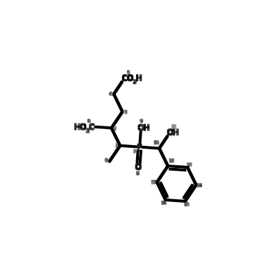 CC(C(CCC(=O)O)C(=O)O)P(=O)(O)C(O)c1ccccc1